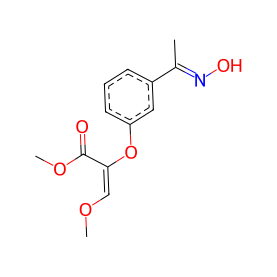 CO/C=C(/Oc1cccc(/C(C)=N/O)c1)C(=O)OC